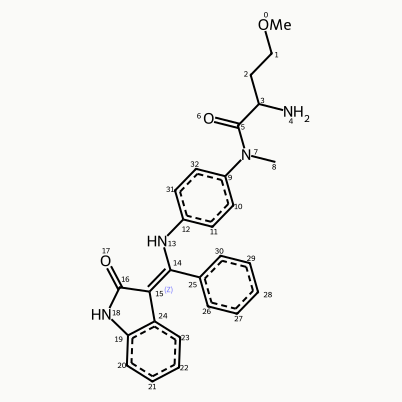 COCCC(N)C(=O)N(C)c1ccc(N/C(=C2\C(=O)Nc3ccccc32)c2ccccc2)cc1